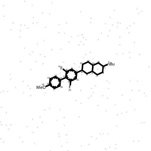 CCCCC1CCC2CC(c3cc(F)c(-c4ccc(OC)cc4)c(F)c3)CCC2C1